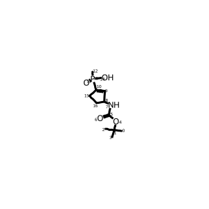 CC(C)(C)OC(=O)NC1C=C(P(C)(=O)O)CC1